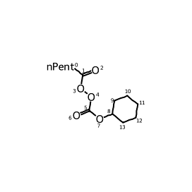 CCCCCC(=O)OOC(=O)OC1CCCCC1